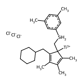 CC1=C(C)[C]([Ti+3])(C[SiH2]c2cc(C)cc(C)c2)C(CC2CCCCC2)=C1C.[Cl-].[Cl-].[Cl-]